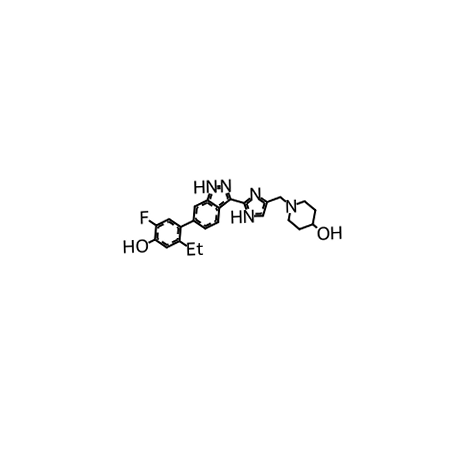 CCc1cc(O)c(F)cc1-c1ccc2c(-c3nc(CN4CCC(O)CC4)c[nH]3)n[nH]c2c1